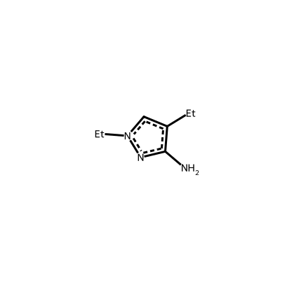 CCc1cn(CC)nc1N